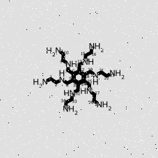 NCCNCc1c(CNCCN)c(CNCCN)c(CNCCN)c(CNCCN)c1CNCCN